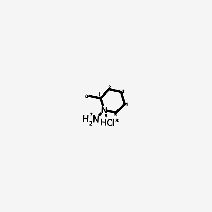 CC1CCCCN1N.Cl